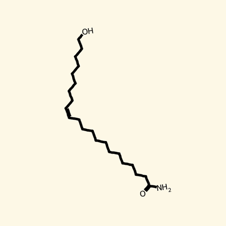 NC(=O)CCCCCCCCCCC/C=C\CCCCCCCCO